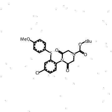 COc1ccc(Sc2cc(Cl)ccc2N2C(=O)CN(C(=O)OC(C)(C)C)CC2=O)cc1